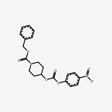 O=C(Oc1ccc([N+](=O)[O-])cc1)OC1CCN(C(=O)OCc2ccccc2)CC1